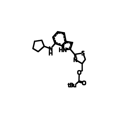 CC(C)(C)C(=O)OCC1CSC(c2cc3cccc(NC4CCCC4)c3[nH]2)=N1